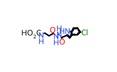 O=C(O)NCCC(=O)NNC(=O)c1cc2cc(Cl)ccc2[nH]1